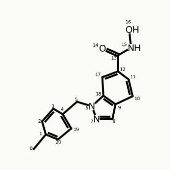 Cc1ccc(Cn2ncc3ccc(C(=O)NO)cc32)cc1